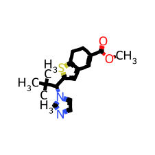 COC(=O)C1=Cc2cc(C(n3ccnc3)C(C)(C)C)sc2CC1